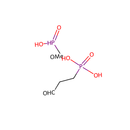 CO[PH](=O)O.O=CCCP(=O)(O)O